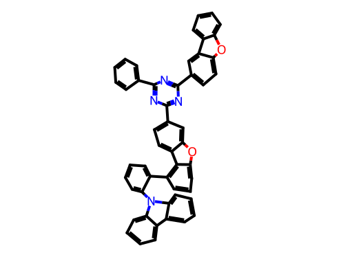 c1ccc(-c2nc(-c3ccc4c(c3)oc3cccc(-c5ccccc5-n5c6ccccc6c6ccccc65)c34)nc(-c3ccc4oc5ccccc5c4c3)n2)cc1